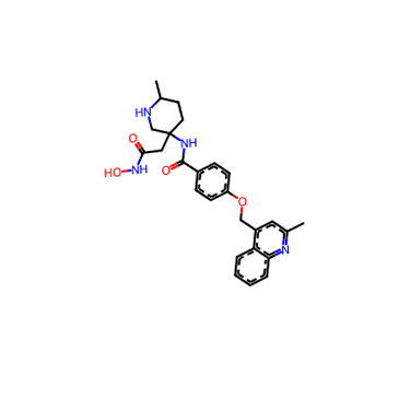 Cc1cc(COc2ccc(C(=O)NC3(CC(=O)NO)CCC(C)NC3)cc2)c2ccccc2n1